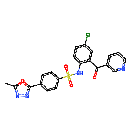 Cc1nnc(-c2ccc(S(=O)(=O)Nc3ccc(Cl)cc3C(=O)c3cccnc3)cc2)o1